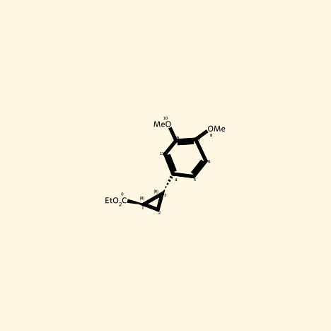 CCOC(=O)[C@@H]1C[C@H]1c1ccc(OC)c(OC)c1